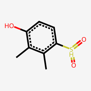 Cc1c(O)ccc([SH](=O)=O)c1C